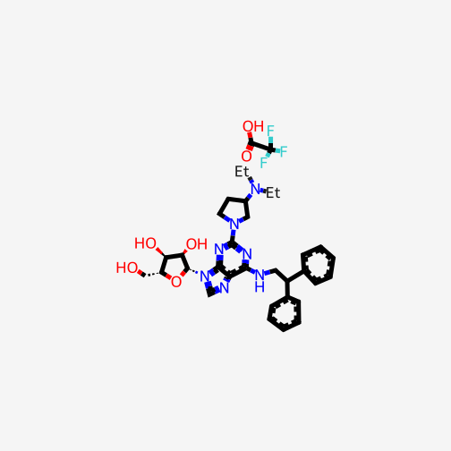 CCN(CC)C1CCN(c2nc(NCC(c3ccccc3)c3ccccc3)c3ncn([C@@H]4O[C@H](CO)[C@@H](O)[C@H]4O)c3n2)C1.O=C(O)C(F)(F)F